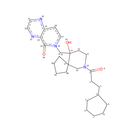 O=C(CCC1CCCCC1)N1CCC(O)(Cn2ccc3nccnc3c2=O)C2(CCCC2)C1